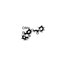 COc1cc2c(cc1OCCC(=O)N1CCCCC1)N=C[C@@H]1CCCN1C2=O